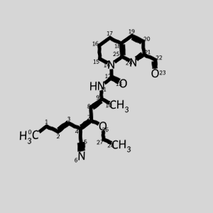 CC/C=C/C(C#N)=C(\C=C(/C)NC(=O)N1CCCc2ccc(C=O)nc21)OCC